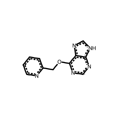 [c]1nc(OCc2ccccn2)c2nc[nH]c2n1